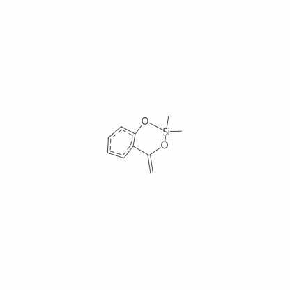 C=C1O[Si](C)(C)Oc2ccccc21